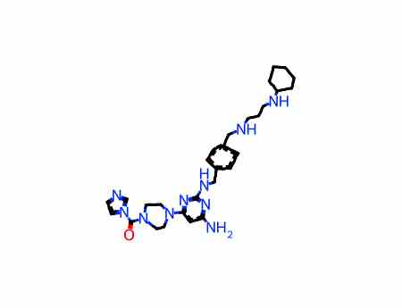 Nc1cc(N2CCN(C(=O)n3ccnc3)CC2)nc(NCc2ccc(CNCCCNC3CCCCC3)cc2)n1